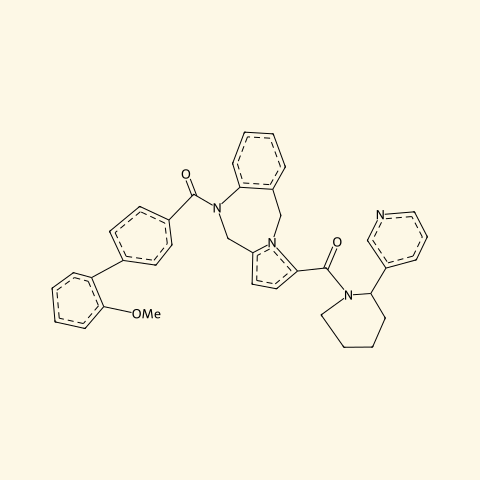 COc1ccccc1-c1ccc(C(=O)N2Cc3ccc(C(=O)N4CCCCC4c4cccnc4)n3Cc3ccccc32)cc1